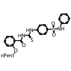 CCCCCOc1ccccc1C(=O)NC(=S)Nc1ccc(S(=O)(=O)Nc2ccccc2)cc1